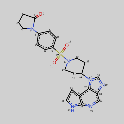 O=C1CCCN1c1ccc(S(=O)(=O)N2CCC(n3cnc4cnc5[nH]ccc5c43)CC2)cc1